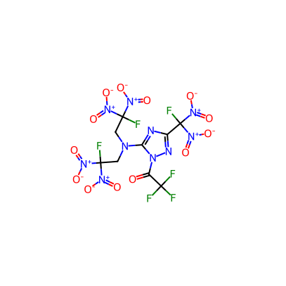 O=C(n1nc(C(F)([N+](=O)[O-])[N+](=O)[O-])nc1N(CC(F)([N+](=O)[O-])[N+](=O)[O-])CC(F)([N+](=O)[O-])[N+](=O)[O-])C(F)(F)F